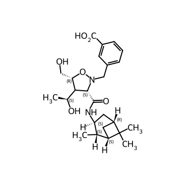 C[C@@H]1[C@@H](NC(=O)[C@@H]2C([C@H](C)O)[C@H](CO)ON2Cc2cccc(C(=O)O)c2)C[C@H]2C[C@@H]1C2(C)C